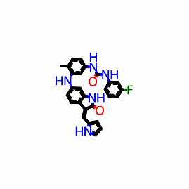 Cc1ccc(NC(=O)Nc2cccc(F)c2)cc1Nc1ccc2c(c1)NC(=O)/C2=C\c1ccc[nH]1